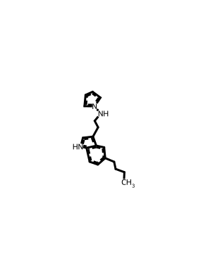 CCCCc1ccc2[nH]cc(CCNn3cccc3)c2c1